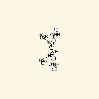 CCC(/C=C1\Oc2ccc(C(=O)Nc3ccccc3)cc2N1CCCS(=O)(=O)O)=C\c1oc2ccc(C(=O)Nc3ccccc3)cc2[n+]1CCCS(=O)(=O)O